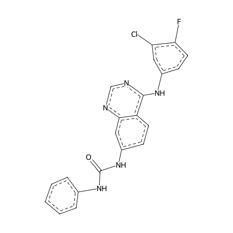 O=C(Nc1ccccc1)Nc1ccc2c(Nc3ccc(F)c(Cl)c3)ncnc2c1